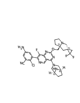 N#Cc1cc(N)cc(-c2ncc3c(N4C[C@H]5CC[C@@H](C4)N5)nc(OC[C@@]45CCCN4C[C@@]4(CC4(F)F)C5)nc3c2F)c1Cl